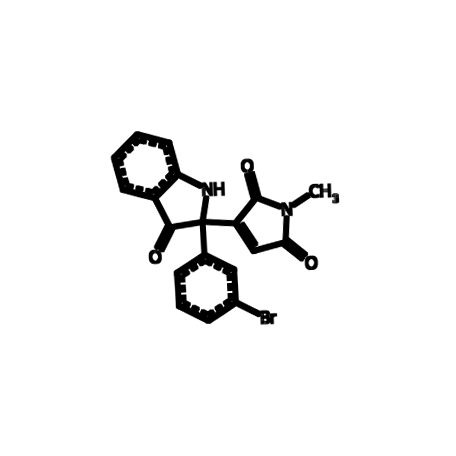 CN1C(=O)C=C(C2(c3cccc(Br)c3)Nc3ccccc3C2=O)C1=O